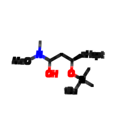 CCCCCCC[C@H](CC(O)N(C)OC)O[Si](C)(C)C(C)(C)C